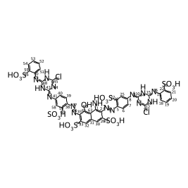 Nc1c(N=Nc2ccc(N=c3nc(Cl)[nH]c(=Nc4ccccc4S(=O)(=O)O)[nH]3)cc2S(=O)(=O)O)c(S(=O)(=O)O)cc2cc(S(=O)(=O)O)c(N=Nc3ccc(N=c4nc(Cl)[nH]c(=Nc5ccccc5S(=O)(=O)O)[nH]4)cc3S(=O)(=O)O)c(O)c12